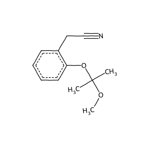 COC(C)(C)Oc1ccccc1CC#N